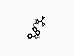 c1ccc(-c2nnc3ccc4cc(Sc5ncc(C(C6CC6)C6CC6)s5)ccc4n23)cc1